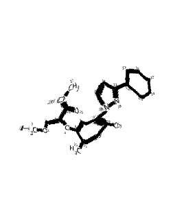 CO/C=C(\Oc1cc(-n2ccc(C3CCCCC3)n2)c(Cl)cc1C)C(=O)OC